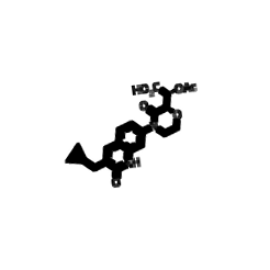 CC(=O)O[C@@H](C(=O)O)[C@H]1OCCN(c2ccc3cc(CC4CC4)c(=O)[nH]c3c2)C1=O